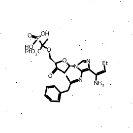 CC/C=C(/N)c1ncn([C@H]2CC(=O)[C@@H](COC(C)(C(=O)OCC)P(=O)(O)O)O2)c1/N=C(\C)Cc1ccccc1